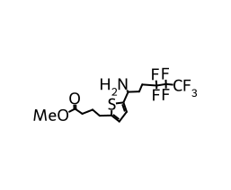 COC(=O)CCCc1ccc(C(N)CCC(F)(F)C(F)(F)C(F)(F)F)s1